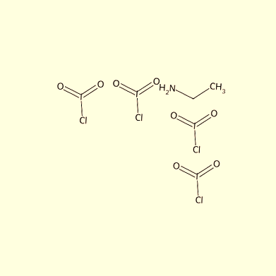 CCN.O=I(=O)Cl.O=I(=O)Cl.O=I(=O)Cl.O=I(=O)Cl